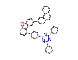 c1ccc(-c2nc(-c3ccccc3)nc(-c3ccc(-c4cccc5oc6ccc(-c7ccc8ccc9ccccc9c8c7)cc6c45)cc3)n2)cc1